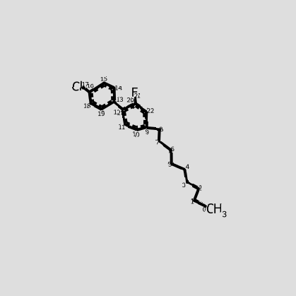 CCCCCCCCCc1ccc(-c2ccc(Cl)cc2)c(F)c1